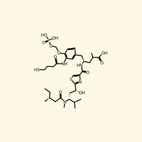 CC[C@H](C)CC(=O)N(C)[C@H](C[C@@H](O)c1nc(C(=O)N[C@@H](Cc2ccc(OCOP(=O)(O)O)c(NC(=O)CCCS)c2)CC(C)C(=O)O)cs1)C(C)C